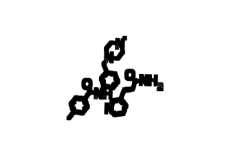 Cc1ccc(C(=O)Nc2cccc(CN3CCN(C)CC3)c2)cc1.NC(=O)C=Cc1cccnc1